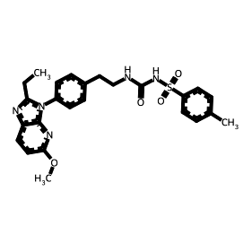 CCc1nc2ccc(OC)nc2n1-c1ccc(CCNC(=O)NS(=O)(=O)c2ccc(C)cc2)cc1